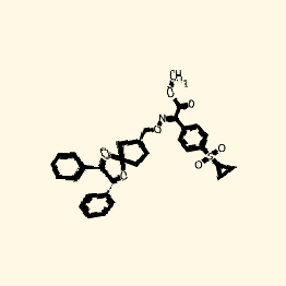 COC(=O)/C(=N/OC[C@H]1CCC2(C1)O[C@H](c1ccccc1)[C@@H](C1C=CC=CC1)O2)c1ccc(S(=O)(=O)C2CC2)cc1